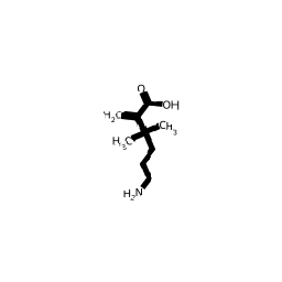 C=C(C(=O)O)C(C)(C)CCCN